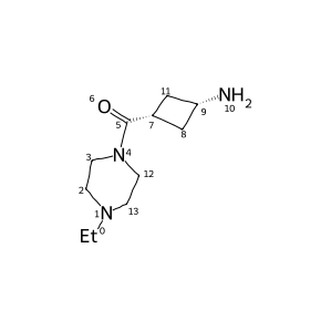 CCN1CCN(C(=O)[C@H]2C[C@@H](N)C2)CC1